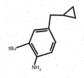 CC(C)(C)c1cc(CC2CC2)ccc1N